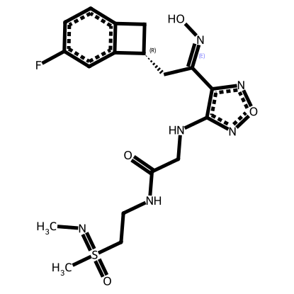 CN=S(C)(=O)CCNC(=O)CNc1nonc1/C(C[C@H]1Cc2ccc(F)cc21)=N/O